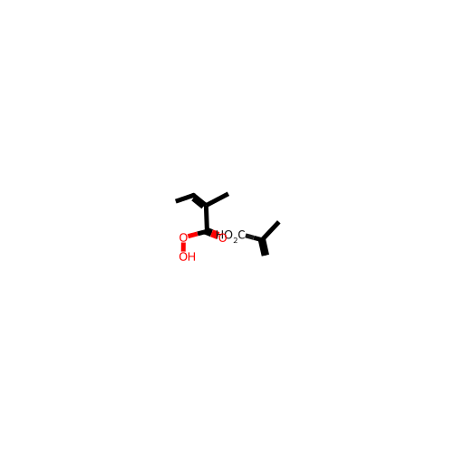 C=C(C)C(=O)O.CC=C(C)C(=O)OO